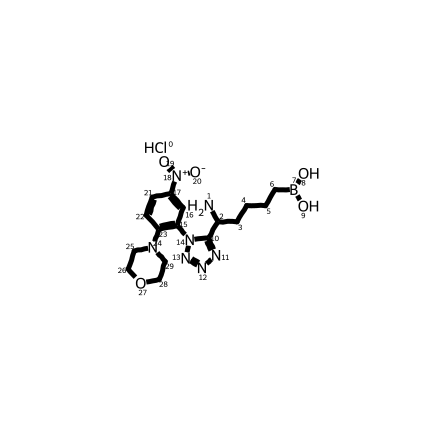 Cl.NC(CCCCB(O)O)c1nnnn1-c1cc([N+](=O)[O-])ccc1N1CCOCC1